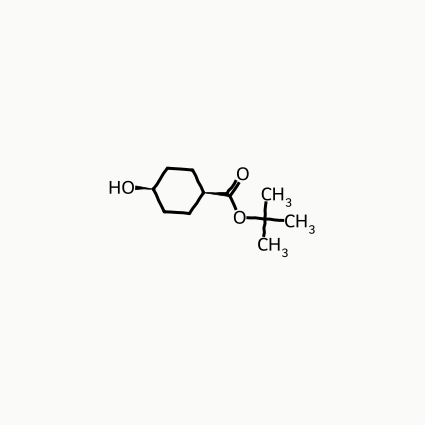 CC(C)(C)OC(=O)[C@H]1CC[C@@H](O)CC1